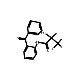 CC(O)(C(=O)Nc1ccccc1C(=O)c1ccccc1)C(F)(F)F